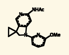 COc1cccc(N2CC3(CC3)c3cnc(NC(C)=O)cc32)n1